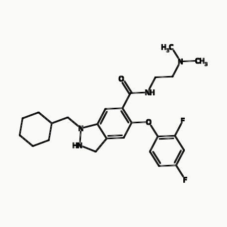 CN(C)CCNC(=O)c1cc2c(cc1Oc1ccc(F)cc1F)CNN2CC1CCCCC1